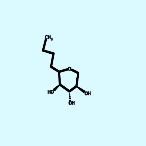 CCCCC1OC[C@@H](O)[C@H](O)[C@H]1O